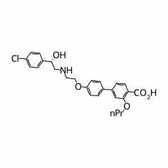 CCCOc1cc(-c2ccc(OCCNC[C@@H](O)c3ccc(Cl)cc3)cc2)ccc1C(=O)O